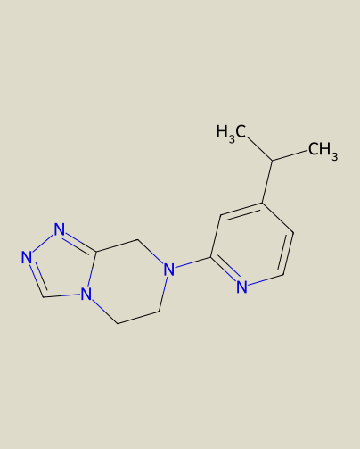 CC(C)c1ccnc(N2CCn3cnnc3C2)c1